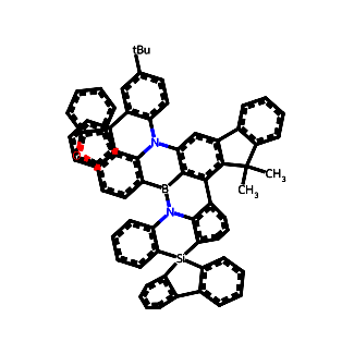 CC(C)(C)c1ccc(N2c3cc4c(c5c3B(c3ccc6oc7ccccc7c6c32)N2c3ccccc3[Si]3(c6ccccc6-c6ccccc63)c3cccc-5c32)C(C)(C)c2ccccc2-4)c(-c2ccccc2)c1